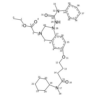 CCOC(=O)CN1Cc2cc(OCCCC(=O)N(C)C3CCCCC3)ccc2N(NC(=O)N(C)c2ccccc2)C1